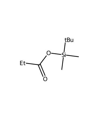 CCC(=O)O[Si](C)(C)C(C)(C)C